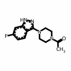 CC(=O)N1CCN(c2n[nH]c3cc(F)ccc23)CC1